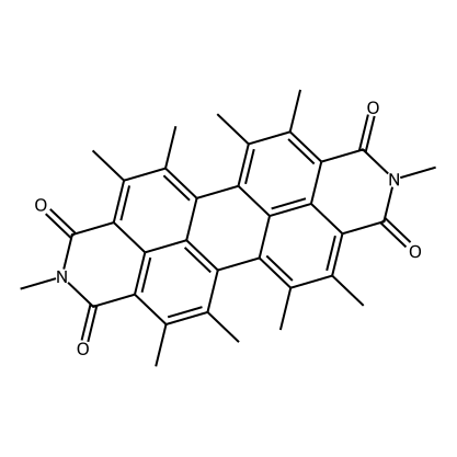 Cc1c2c3c(c(C)c(C)c4c5c(C)c(C)c6c7c(c(C)c(C)c(c(c1C)c34)c75)C(=O)N(C)C6=O)C(=O)N(C)C2=O